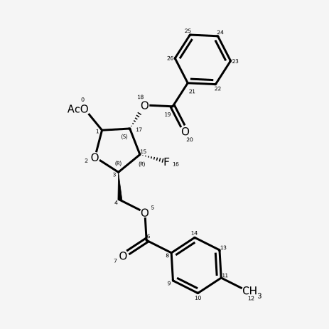 CC(=O)OC1O[C@H](COC(=O)c2ccc(C)cc2)[C@@H](F)[C@H]1OC(=O)c1ccccc1